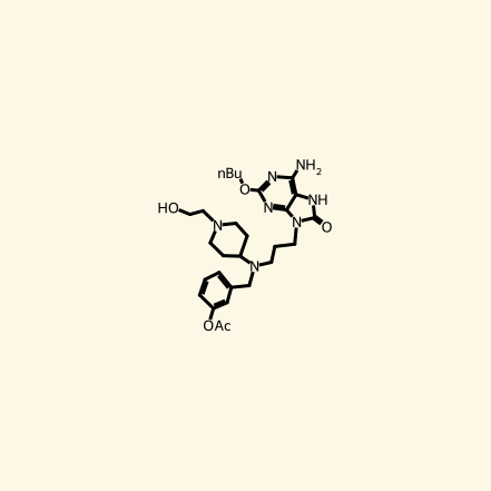 CCCCOc1nc(N)c2[nH]c(=O)n(CCCN(Cc3cccc(OC(C)=O)c3)C3CCN(CCO)CC3)c2n1